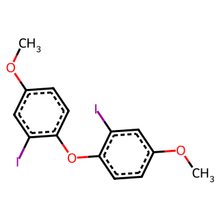 COc1ccc(Oc2ccc(OC)cc2I)c(I)c1